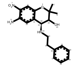 CC1(C)Oc2cc([N+](=O)[O-])c(N)cc2[C@H](NCCc2ccccc2)C1O